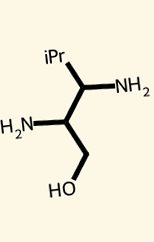 CC(C)C(N)C(N)CO